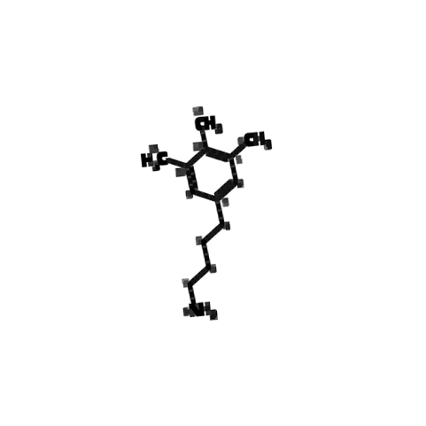 Cc1cc(CCCCN)cc(C)c1C